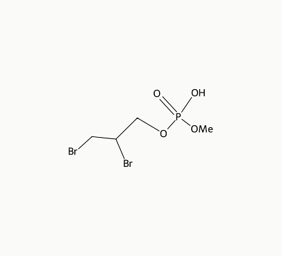 COP(=O)(O)OCC(Br)CBr